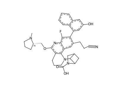 CN1CCC[C@H]1COc1nc2c(F)c(-c3cc(O)cc4ccccc34)c(CCC#N)cc2c2c1CCCN2C1C2CC1N(C(=O)O)C2